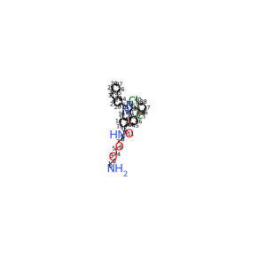 NCCOCCOCCNC(=O)c1ccc(Cn2c(-c3ccc4c(c3)-c3ccccc3C4)nc(-c3ccccc3Cl)c2-c2ccccc2Cl)cc1